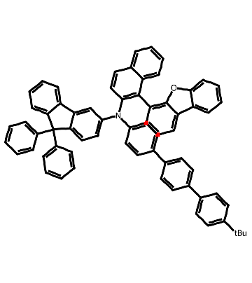 CC(C)(C)c1ccc(-c2ccc(-c3ccc(N(c4ccc5c(c4)-c4ccccc4C5(c4ccccc4)c4ccccc4)c4ccc5ccccc5c4-c4cccc5c4oc4ccccc45)cc3)cc2)cc1